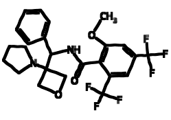 COc1cc(C(F)(F)F)cc(C(F)(F)F)c1C(=O)NC(c1ccccc1)C1(N2CCCC2)COC1